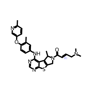 Cc1ccc(Oc2ccc(Nc3ncnc4sc5c(c34)C(C)N(C(=O)/C=C/CN(C)C)C5)cc2C)cn1